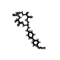 C=C(CCO)C(=O)OCC(CCc1ccc(-c2ccc(CCCCC)cc2)cc1)COC(=O)C(=C)COC